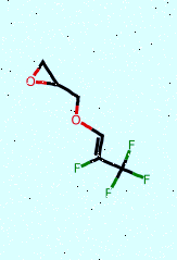 FC(=COCC1CO1)C(F)(F)F